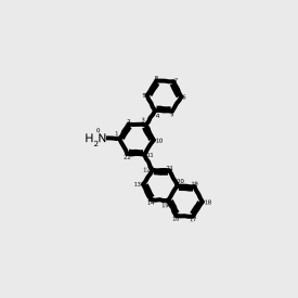 Nc1cc(-c2ccccc2)cc(-c2ccc3ccccc3c2)c1